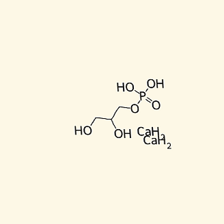 O=P(O)(O)OCC(O)CO.[CaH2].[CaH2]